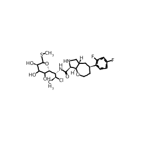 CSC1O[C@H]([C@H](NC(=O)[C@H]2NC[C@@H]3C[C@@H](c4ccc(F)cc4F)CCO[C@H]32)[C@H](C)Cl)C(O)C(O)[C@H]1O